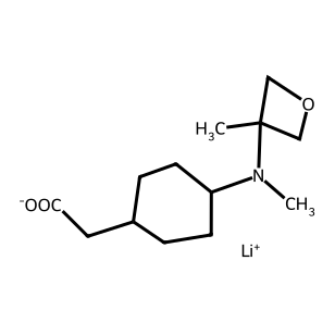 CN(C1CCC(CC(=O)[O-])CC1)C1(C)COC1.[Li+]